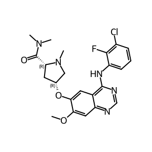 COc1cc2ncnc(Nc3cccc(Cl)c3F)c2cc1O[C@@H]1C[C@H](C(=O)N(C)C)N(C)C1